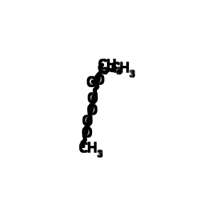 CCCCOCCOCCOCCOCCCC(=O)OCC(CC)CCCC